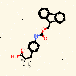 C[C@H](Cc1ccc(NC(=O)OCC2c3ccccc3-c3ccccc32)cc1)C(=O)O